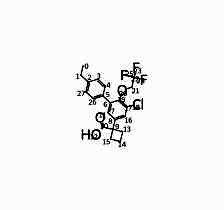 CCc1ccc(-c2cc(C3(C(=O)O)CCC3)cc(Cl)c2OCC(F)(F)F)cc1